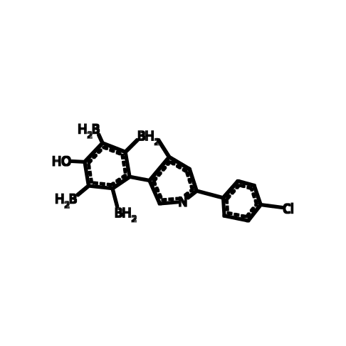 Bc1c(B)c(-c2cnc(-c3ccc(Cl)cc3)cc2C)c(B)c(B)c1O